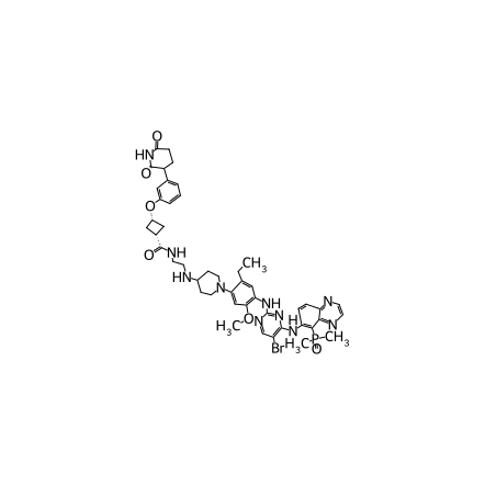 CCc1cc(Nc2ncc(Br)c(Nc3ccc4nccnc4c3P(C)(C)=O)n2)c(OC)cc1N1CCC(NCCNC(=O)[C@H]2C[C@@H](Oc3cccc(C4CCC(=O)NC4=O)c3)C2)CC1